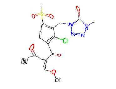 CCO/C=C(\C(=O)c1ccc(S(C)(=O)=O)c(Cn2nnn(C)c2=O)c1Cl)C(=O)C(C)(C)C